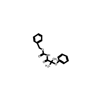 CC(C)(Oc1ccccc1)C(=O)NC(=O)OCc1ccccc1